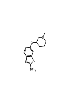 CN1CCCC(Oc2ccc3nc(N)sc3c2)C1